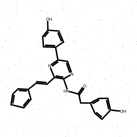 O=C(Cc1ccc(O)cc1)Nc1ncc(-c2ccc(O)cc2)nc1/C=C/c1ccccc1